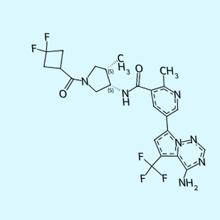 Cc1ncc(-c2cc(C(F)(F)F)c3c(N)ncnn23)cc1C(=O)N[C@@H]1CN(C(=O)C2CC(F)(F)C2)C[C@@H]1C